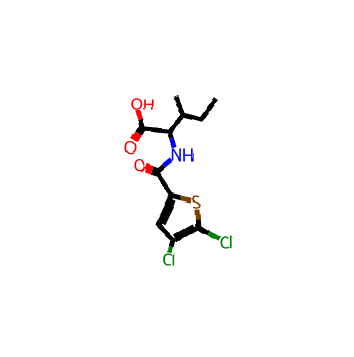 CCC(C)C(NC(=O)c1cc(Cl)c(Cl)s1)C(=O)O